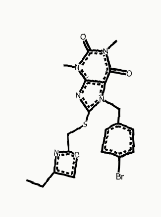 CCc1coc(CSc2nc3c(c(=O)n(C)c(=O)n3C)n2Cc2ccc(Br)cc2)n1